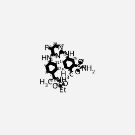 CCS(=O)(=O)N[C@H](C)c1ccc(Nc2nc(Nc3ccc(C)c(S(N)(=O)=O)c3)ncc2F)cc1